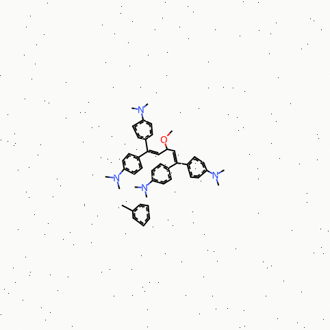 COC(C=C(c1ccc(N(C)C)cc1)c1ccc(N(C)C)cc1)C=C(c1ccc(N(C)C)cc1)c1ccc(N(C)C)cc1.Cc1ccccc1